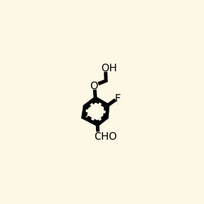 O=Cc1ccc(OCO)c(F)c1